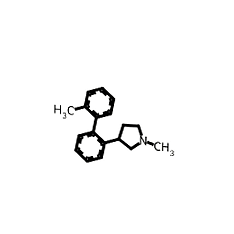 Cc1ccccc1-c1ccccc1C1CCN(C)C1